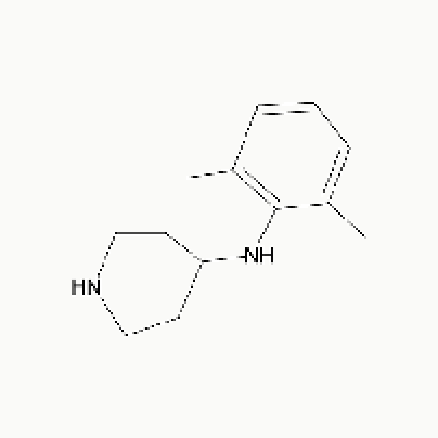 Cc1cccc(C)c1NC1CCNCC1